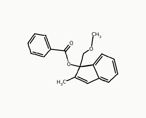 COCC1(OC(=O)c2ccccc2)C(C)=Cc2ccccc21